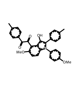 COc1ccc(-n2c(-c3ccc(C)cc3)c(O)c3c(C(=O)C(=O)c4ccc(C)cc4)c(OC)ccc32)cc1